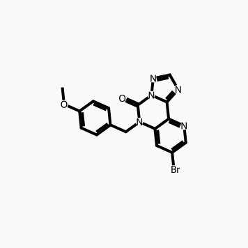 COc1ccc(Cn2c(=O)n3ncnc3c3ncc(Br)cc32)cc1